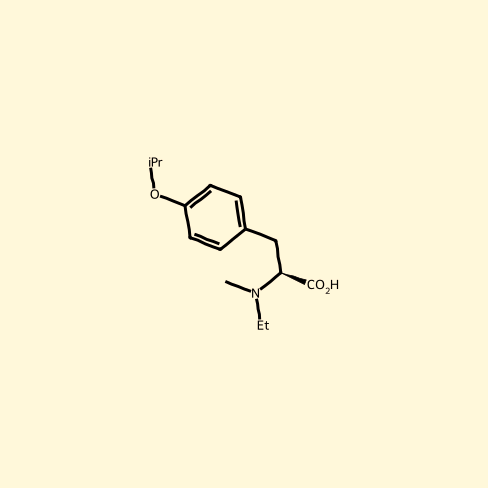 CCN(C)[C@@H](Cc1ccc(OC(C)C)cc1)C(=O)O